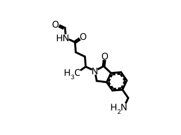 CC(CCC(=O)NC=O)N1Cc2cc(CN)ccc2C1=O